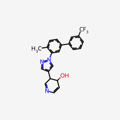 Cc1ccc(-c2cccc(C(F)(F)F)c2)cc1-n1cc(C2C=NC=CC2O)cn1